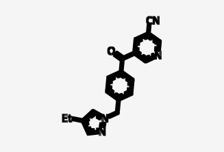 CCc1cnn(Cc2ccc(C(=O)c3cncc(C#N)c3)cc2)c1